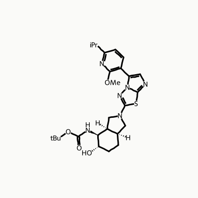 COc1nc(C(C)C)ccc1-c1cnc2sc(N3C[C@H]4CC[C@H](O)[C@@H](NC(=O)OC(C)(C)C)[C@H]4C3)nn12